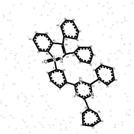 O=S1(c2cccc(-c3nc(-c4ccccc4)nc(-c4ccccc4)n3)c2)=NC(c2ccccc2)=C(c2ccccc2)c2ccccc21